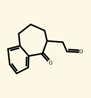 O=CCC1CCCc2ccccc2C1=O